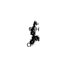 CN(C)CCCNC(=O)N1CCC(c2cn(-c3ccc(Cl)cc3)c3cnccc23)CC1